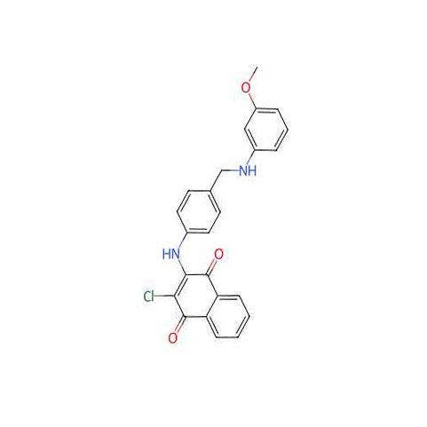 COc1cccc(NCc2ccc(NC3=C(Cl)C(=O)c4ccccc4C3=O)cc2)c1